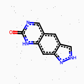 O=c1ncc2cc3c[nH]nc3cc2[nH]1